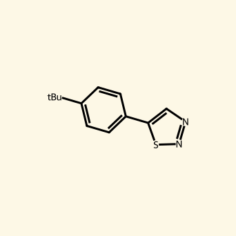 CC(C)(C)c1ccc(-c2cnns2)cc1